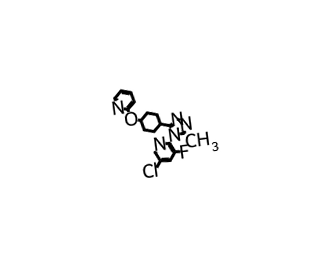 Cc1nnc(C2CCC(Oc3ccccn3)CC2)n1-c1ncc(Cl)cc1F